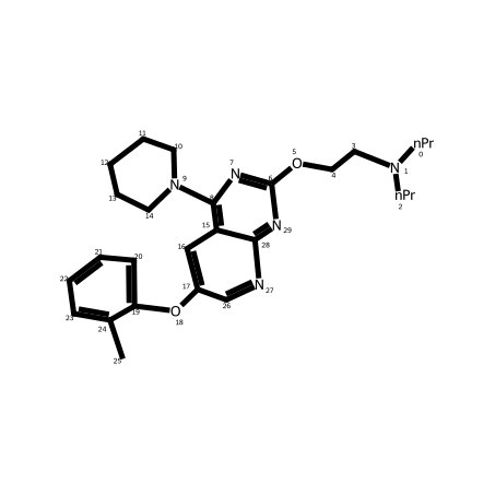 CCCN(CCC)CCOc1nc(N2CCCCC2)c2cc(Oc3ccccc3C)cnc2n1